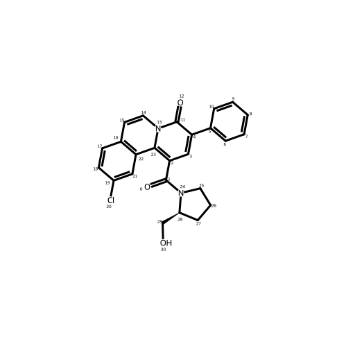 O=C(c1cc(-c2ccccc2)c(=O)n2ccc3ccc(Cl)cc3c12)N1CCC[C@H]1CO